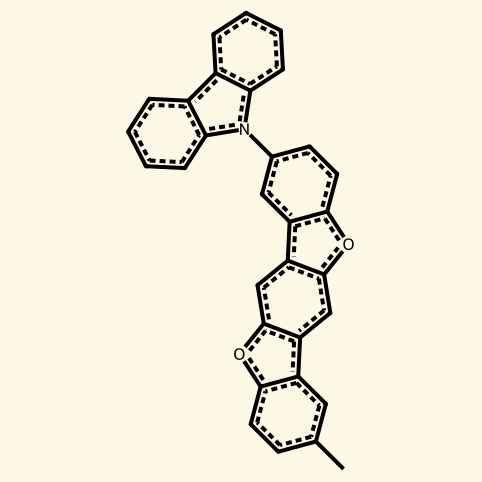 Cc1ccc2oc3cc4c(cc3c2c1)oc1ccc(-n2c3ccccc3c3ccccc32)cc14